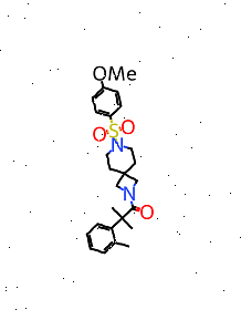 COc1ccc(S(=O)(=O)N2CCC3(CC2)CN(C(=O)C(C)(C)c2ccccc2C)C3)cc1